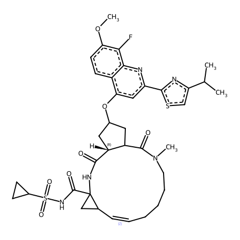 COc1ccc2c(OC3CC4C(=O)N(C)CCCC/C=C\C5CC5(C(=O)NS(=O)(=O)C5CC5)NC(=O)[C@@H]4C3)cc(-c3nc(C(C)C)cs3)nc2c1F